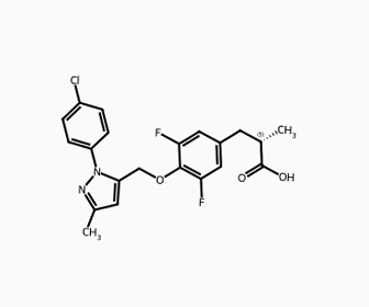 Cc1cc(COc2c(F)cc(C[C@H](C)C(=O)O)cc2F)n(-c2ccc(Cl)cc2)n1